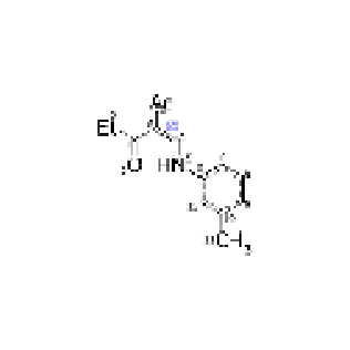 CCC(=O)/C(=C\Nc1cccc(C)c1)C(C)=O